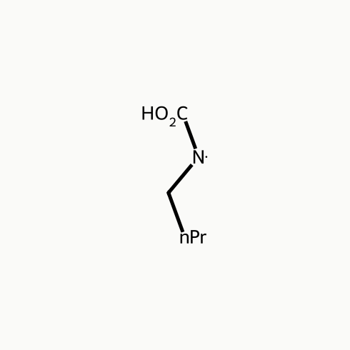 CCCC[N]C(=O)O